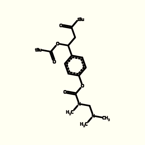 CN(C)CN(C)C(=O)Oc1ccc(C(CC(=O)C(C)(C)C)OC(=O)C(C)(C)C)cc1